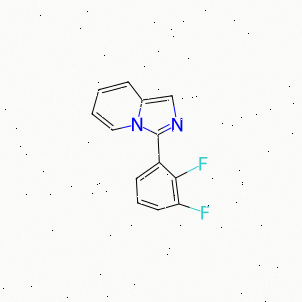 Fc1cccc(-c2ncc3ccccn23)c1F